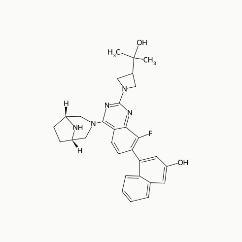 CC(C)(O)C1CN(c2nc(N3C[C@H]4CC[C@@H](C3)N4)c3ccc(-c4cc(O)cc5ccccc45)c(F)c3n2)C1